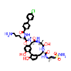 C[C@@H]1NC(=O)[C@@H](N(C)C(=O)[C@H](CCCCN)NC(=O)c2ccc(-c3ccc(Cl)cc3)cc2)c2ccc(O)c(c2)-c2cc(ccc2O)C[C@@H](C(=O)N[C@@H](C)/C=C/S(N)(=O)=O)NC1O